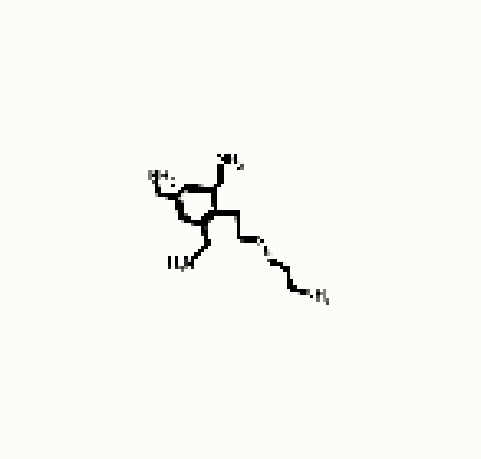 NCCSSCCc1c(CN)cc(CN)cc1CN